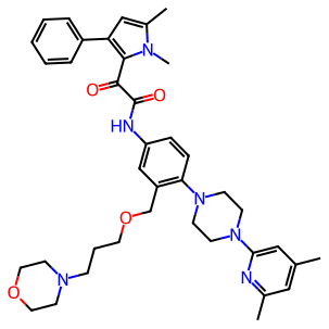 Cc1cc(C)nc(N2CCN(c3ccc(NC(=O)C(=O)c4c(-c5ccccc5)cc(C)n4C)cc3COCCCN3CCOCC3)CC2)c1